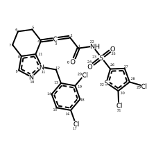 O=C(C=C=C1CCCc2cnn(Cc3ccc(Cl)cc3Cl)c21)NS(=O)(=O)c1cc(Cl)c(Cl)s1